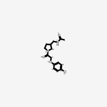 CC(=O)NCC1CCN(C(=O)COc2ccc(Cl)cc2)C1